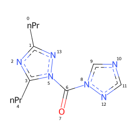 CCCc1nc(CCC)n(C(=O)n2cncn2)n1